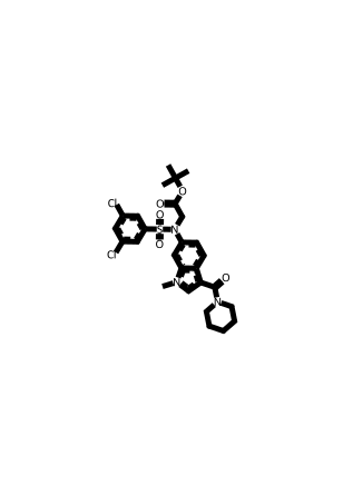 Cn1cc(C(=O)N2CCCCC2)c2ccc(N(CC(=O)OC(C)(C)C)S(=O)(=O)c3cc(Cl)cc(Cl)c3)cc21